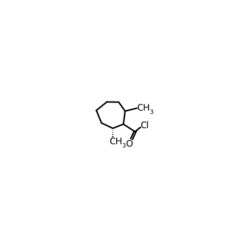 CC1CCCC[C@@H](C)C1C(=O)Cl